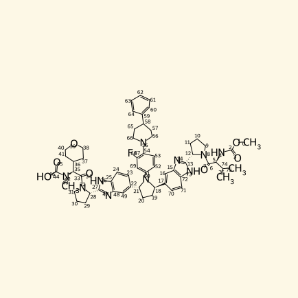 COC(=O)N[C@H](C(=O)N1CCC[C@H]1c1nc2cc([C@H]3CC[C@H](c4ccc5[nH]c([C@@H]6CCCN6C(=O)[C@H](C6CCOCC6)N(C)C(=O)O)nc5c4)N3c3ccc(N4CCC(c5ccccc5)CC4)c(F)c3)ccc2[nH]1)C(C)C